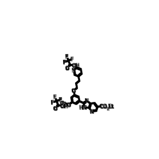 CCOC(=O)c1cnc2[nH]c(-c3cc(OCCCc4cccnc4)cc(OC(C)C)c3)nc2c1.O=C(O)C(F)(F)F.O=C(O)C(F)(F)F